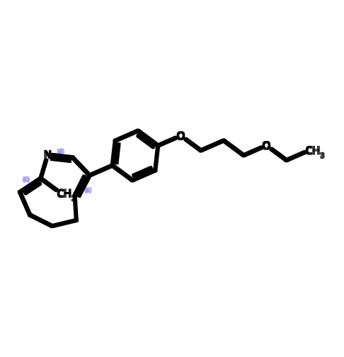 CCOCCCOc1ccc(C2=C\CCC/C=C(C)/N=C\2)cc1